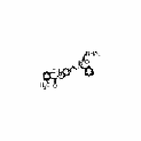 CC(=O)NCC(=O)N[C@@H](CCN1CC2CN(C(=O)c3c(C)cccc3C)CC2C1)c1ccccc1